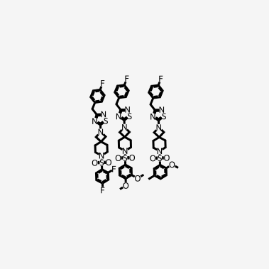 COc1ccc(C)cc1S(=O)(=O)N1CCC2(CC1)CN(c1nc(Cc3ccc(F)cc3)ns1)C2.COc1ccc(S(=O)(=O)N2CCC3(CC2)CN(c2nc(Cc4ccc(F)cc4)ns2)C3)cc1OC.O=S(=O)(c1ccc(F)cc1F)N1CCC2(CC1)CN(c1nc(Cc3ccc(F)cc3)ns1)C2